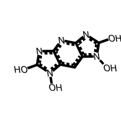 Oc1nc2nc3nc(O)n(O)c3cc2n1O